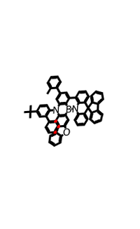 Cc1ccccc1-c1cc2c3c(c1)N(c1ccc(C(C)(C)C)cc1-c1ccccc1)c1cc4c(cc1B3N1c3ccccc3C3(c5ccccc5-c5ccccc53)c3cccc-2c31)oc1ccccc14